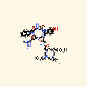 CN1[C@H](CCCNC(=O)CN2CCN(CC(=O)O)CCN(CC(=O)O)CCN(CC(=O)O)CC2)C(=O)N[C@@H](CCCNC(=N)N)C(=O)N[C@@H](Cc2ccc3ccccc3c2)C(O)NCC(=O)N[C@]1(C=O)Cc1ccc(O)cc1